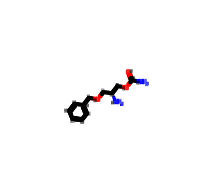 NC(=O)OC[C@H](N)COCc1ccccc1